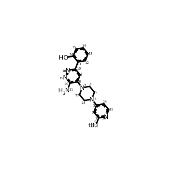 CC(C)(C)c1cc(N2CCN(c3cc(-c4ccccc4O)nnc3N)CC2)ccn1